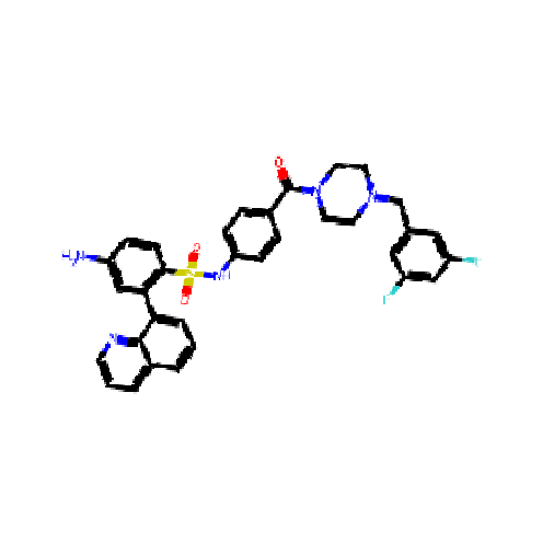 Nc1ccc(S(=O)(=O)Nc2ccc(C(=O)N3CCN(Cc4cc(F)cc(F)c4)CC3)cc2)c(-c2cccc3cccnc23)c1